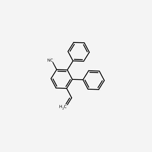 C=Cc1ccc(C#N)c(-c2ccccc2)c1-c1ccccc1